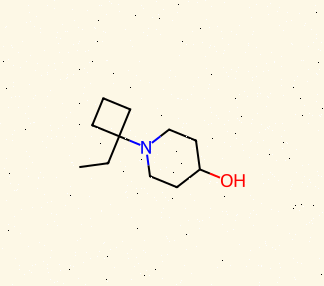 CCC1(N2CCC(O)CC2)CCC1